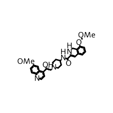 COCOc1cccc2c1CNC(C(=O)NC1CCN(C[C@H](O)c3ccnc4ccc(OC)cc34)CC1)=C2